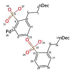 CCCCCCCCCCCCc1ccccc1S(=O)(=O)[O-].CCCCCCCCCCCCc1ccccc1S(=O)(=O)[O-].[Pd+2]